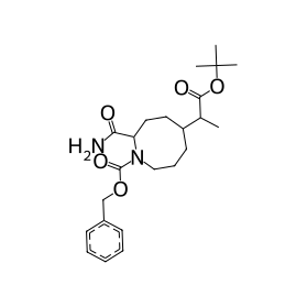 CC(C(=O)OC(C)(C)C)C1CCCN(C(=O)OCc2ccccc2)C(C(N)=O)CC1